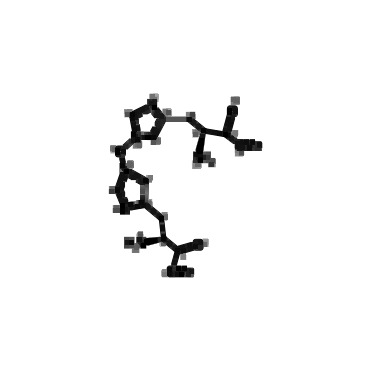 COC(=O)[C@@H](N)Cc1cn(On2cnc(C[C@H](N)C(=O)OC)c2)cn1